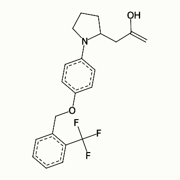 C=C(O)CC1CCCN1c1ccc(OCc2ccccc2C(F)(F)F)cc1